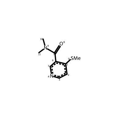 CSc1ccncc1C(=O)N(C)C